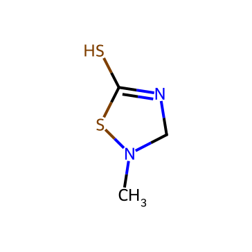 CN1CN=C(S)S1